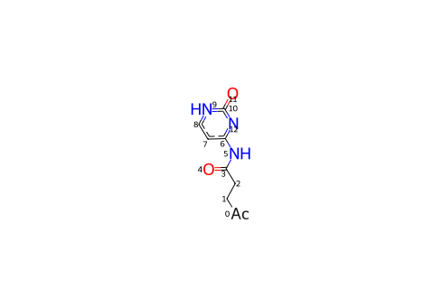 CC(=O)CCC(=O)Nc1cc[nH]c(=O)n1